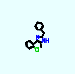 Cc1[nH]c(Cc2ccccc2)nc1-c1ccccc1Cl